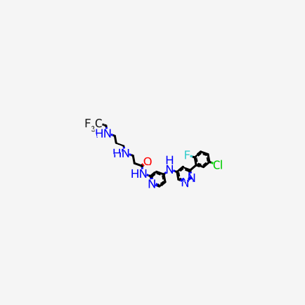 O=C(CCNCCCNCC(F)(F)F)Nc1cc(Nc2cnnc(-c3cc(Cl)ccc3F)c2)ccn1